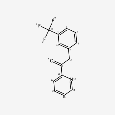 O=C(Cc1cccc(C(F)(F)F)c1)c1ccccn1